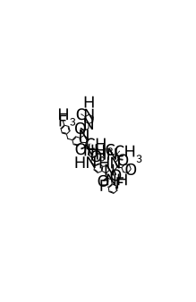 CN[C@@H](C)C(=O)NC(C(=O)N1Cc2cc(NC(=O)CNC(=O)[C@]3(C)CN(C(=O)CN4CCN[C@H](C)C4)c4cc(Cc5ccc(F)cc5)ccc43)ccc2[C@H]1C(=O)Nc1c(F)cccc1F)C1CCOCC1